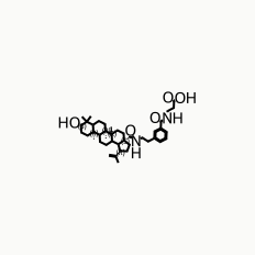 C=C(C)[C@@H]1CC[C@]2(C(=O)NCCc3cccc(C(=O)NCCC(=O)O)c3)CC[C@]3(C)C(CCC4[C@@]5(C)CC[C@H](O)C(C)(C)C5CC[C@]43C)C12